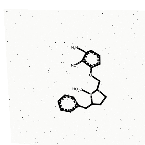 N#Cc1c(N)cccc1OCC1CCC(Cc2ccccc2)N1C(=O)O